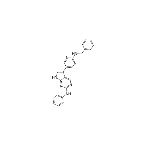 c1ccc(CNc2ncc(-c3c[nH]c4nc(Nc5ccccc5)ncc34)cn2)cc1